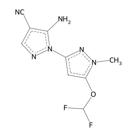 Cn1nc(-n2ncc(C#N)c2N)cc1OC(F)F